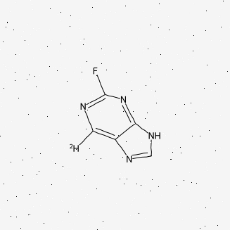 [2H]c1nc(F)nc2[nH]cnc12